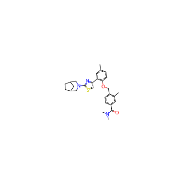 Cc1ccc(OCc2ccc(C(=O)N(C)C)cc2C)c(-c2csc(N3CC4CCC(C4)C3)n2)c1